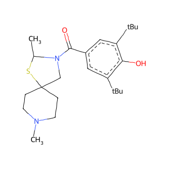 CC1SC2(CCN(C)CC2)CN1C(=O)c1cc(C(C)(C)C)c(O)c(C(C)(C)C)c1